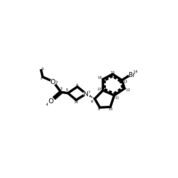 CCOC(=O)C1CN([C@H]2CCc3cc(Br)ccc32)C1